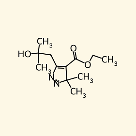 CCOC(=O)C1=C(CC(C)(C)O)N=NC1(C)C